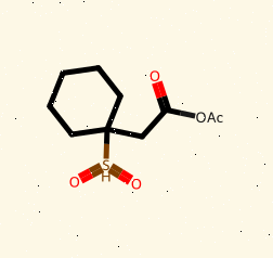 CC(=O)OC(=O)CC1([SH](=O)=O)CCCCC1